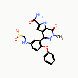 Cn1nc(-c2cc(NC[SH](=O)=O)ccc2Oc2ccccc2)c2cc(C(N)=O)[nH]c2c1=O